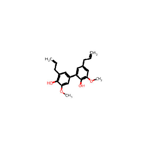 C=CCc1cc(OC)c(O)c(-c2cc(CC=C)c(O)c(OC)c2)c1